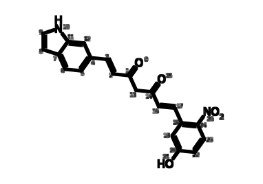 O=C(C=Cc1ccc2cc[nH]c2c1)CC(=O)C=Cc1cc(O)ccc1[N+](=O)[O-]